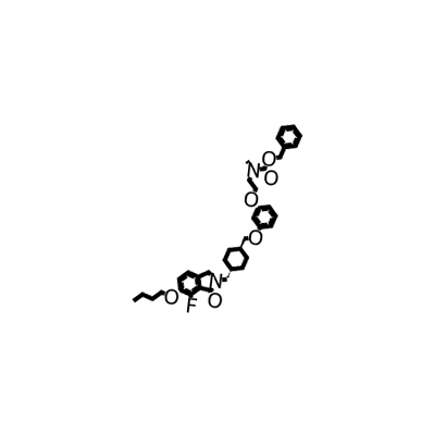 CCCCOc1ccc2c(c1F)C(=O)N(C[C@H]1CC[C@H](COc3cccc(OCCN(C)C(=O)OCc4ccccc4)c3)CC1)C2